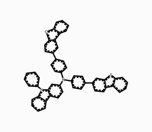 c1ccc(-n2c3ccccc3c3ccc(N(c4ccc(-c5ccc6c(c5)sc5ccccc56)cc4)c4ccc(-c5ccc6oc7ccccc7c6c5)cc4)cc32)cc1